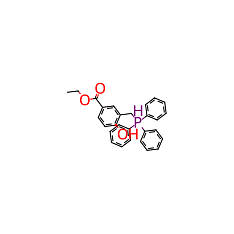 CCOC(=O)c1ccc(O)c(C[PH](c2ccccc2)(c2ccccc2)c2ccccc2)c1